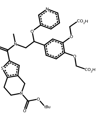 CN(CC(Oc1cccnc1)c1ccc(OCC(=O)O)c(OCC(=O)O)c1)C(=O)c1cc2c(s1)CCN(C(=O)OC(C)(C)C)C2